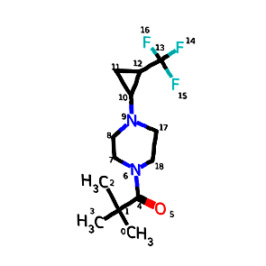 CC(C)(C)C(=O)N1CCN(C2CC2C(F)(F)F)CC1